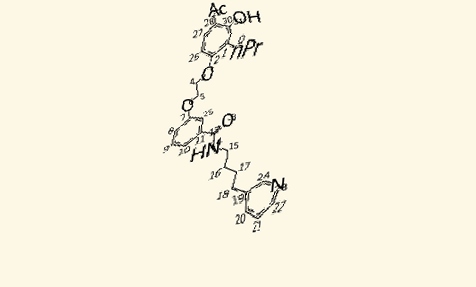 CCCc1c(OCCOc2cccc(C(=O)NCCCCc3cccnc3)c2)ccc(C(C)=O)c1O